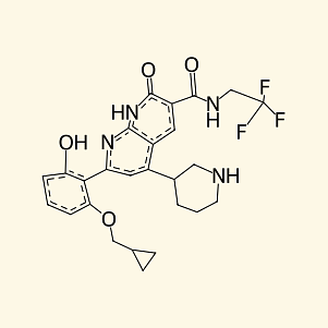 O=C(NCC(F)(F)F)c1cc2c(C3CCCNC3)cc(-c3c(O)cccc3OCC3CC3)nc2[nH]c1=O